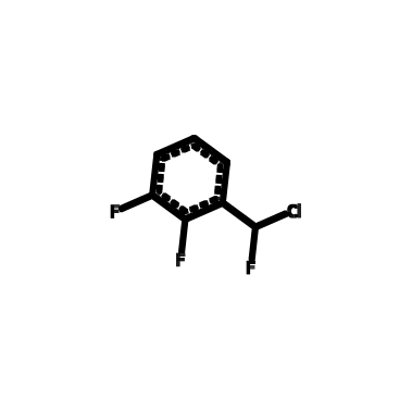 Fc1cccc(C(F)Cl)c1F